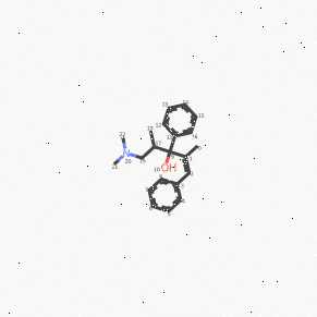 CC(=Cc1ccccc1)C(O)(c1ccccc1)C(C)CN(C)C